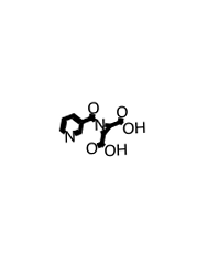 O=C(O)C1C(C(=O)O)N1C(=O)c1cccnc1